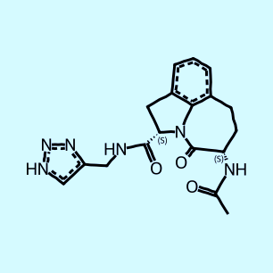 CC(=O)N[C@H]1CCc2cccc3c2N(C1=O)[C@H](C(=O)NCc1c[nH]nn1)C3